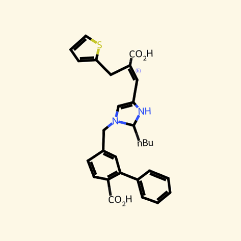 CCCCC1NC(/C=C(\Cc2cccs2)C(=O)O)=CN1Cc1ccc(C(=O)O)c(-c2ccccc2)c1